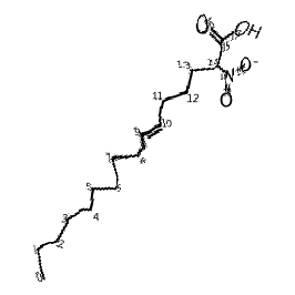 CCCCCCCCCC=CCCCC(C(=O)O)[N+](=O)[O-]